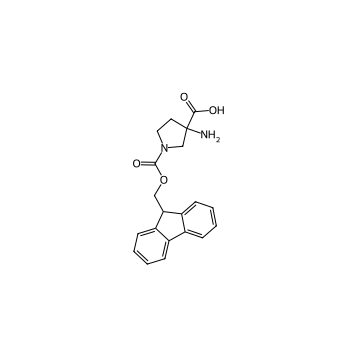 NC1(C(=O)O)CCN(C(=O)OCC2c3ccccc3-c3ccccc32)C1